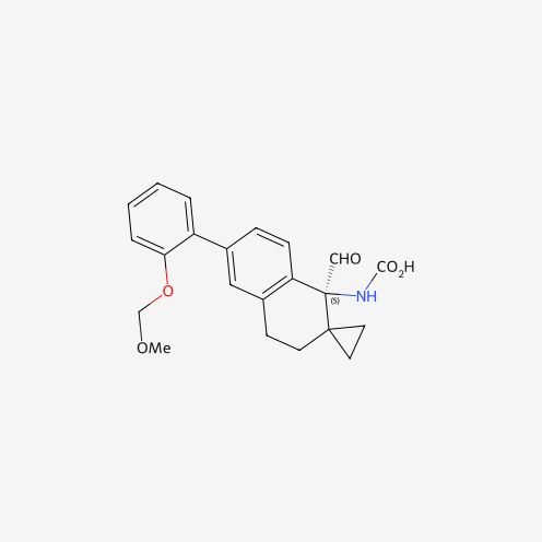 COCOc1ccccc1-c1ccc2c(c1)CCC1(CC1)[C@]2(C=O)NC(=O)O